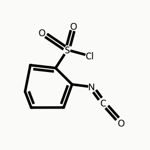 O=C=Nc1ccccc1S(=O)(=O)Cl